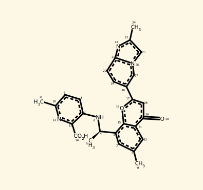 Cc1cc([C@@H](C)Nc2ccc(C)nc2C(=O)O)c2oc(-c3ccc4nc(C)cn4c3)cc(=O)c2c1